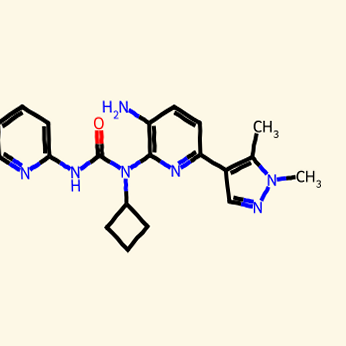 Cc1c(-c2ccc(N)c(N(C(=O)Nc3ccccn3)C3CCC3)n2)cnn1C